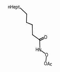 CCCCCCCCCCCC(=O)NOOC(C)=O